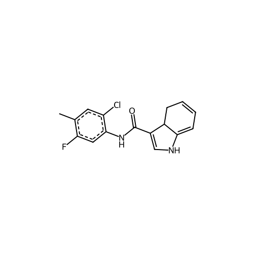 Cc1cc(Cl)c(NC(=O)C2=CNC3=CC=CCC32)cc1F